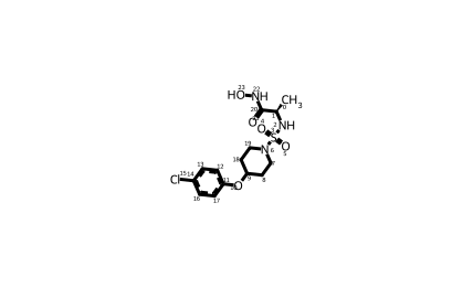 C[C@@H](NS(=O)(=O)N1CCC(Oc2ccc(Cl)cc2)CC1)C(=O)NO